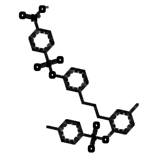 Cc1ccc(S(=O)(=O)Oc2ccc(C)cc2CCCc2cccc(OS(=O)(=O)c3ccc([N+](=O)[O-])cc3)c2)cc1